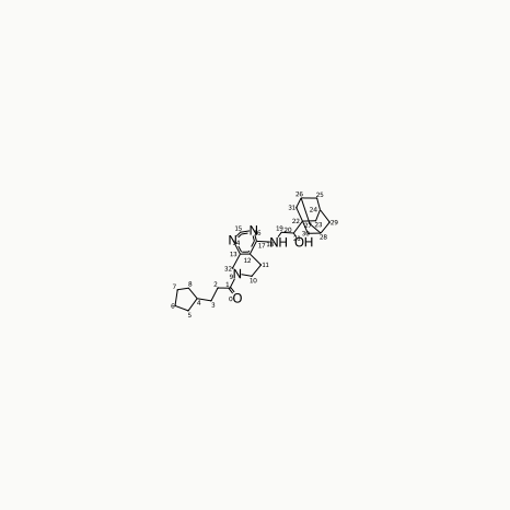 O=C(CCC1CCCC1)N1CCc2c(ncnc2NCC(O)C23CC4CC(CC(C4)C2)C3)C1